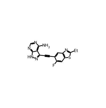 CCc1nc2cc(C#Cc3n[nH]c4ncnc(N)c34)c(F)cc2s1